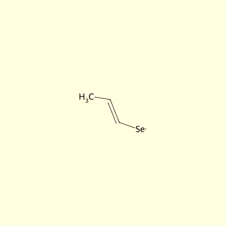 CC=C[Se]